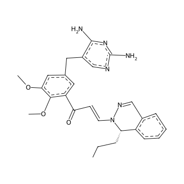 CCC[C@H]1c2ccccc2C=NN1/C=C/C(=O)c1cc(Cc2cnc(N)nc2N)cc(OC)c1OC